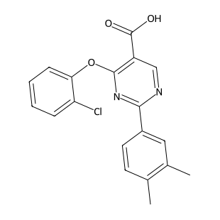 Cc1ccc(-c2ncc(C(=O)O)c(Oc3ccccc3Cl)n2)cc1C